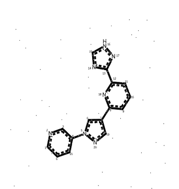 c1cncc(-n2cc(-c3cccc(-c4nc[nH]n4)n3)cn2)c1